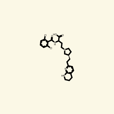 O=C(NC(CCN1CC[C@@H](CCc2ccc3c(n2)NCCC3)C1)C(=O)O)c1c(Cl)cccc1Cl